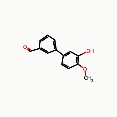 COc1ccc(-c2cccc(C=O)c2)cc1O